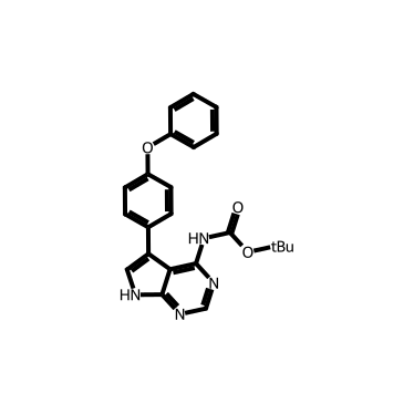 CC(C)(C)OC(=O)Nc1ncnc2[nH]cc(-c3ccc(Oc4ccccc4)cc3)c12